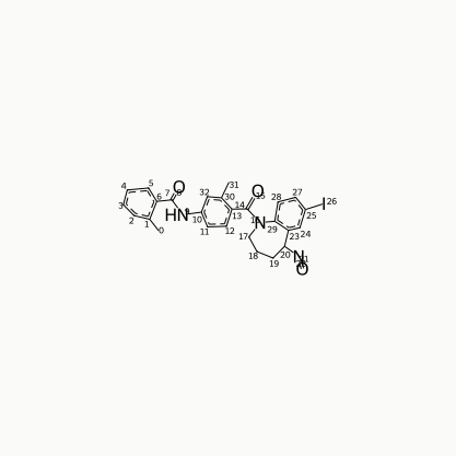 Cc1ccccc1C(=O)Nc1ccc(C(=O)N2CCCC(N=O)c3cc(I)ccc32)c(C)c1